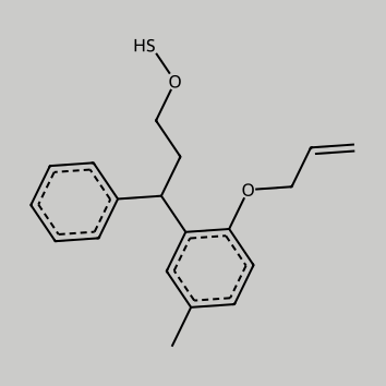 C=CCOc1ccc(C)cc1C(CCOS)c1ccccc1